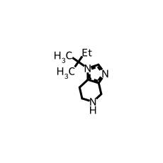 CCC(C)(C)n1cnc2c1CCNC2